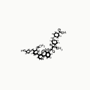 COc1nc(-c2ccnc(-c3cccc(NC(=O)c4nc5c(n4C)CCN(C[C@H]4CC[C@@H](C(=O)O)CC4)C5)c3Cl)c2Cl)ccc1CN1CC[C@@H](O)C1